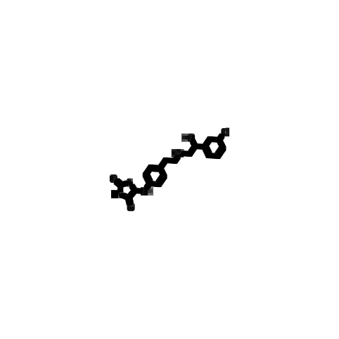 O=C1NC(=O)C(Nc2ccc(CCNCC(O)C3=CC=CC(Cl)C3)cc2)S1